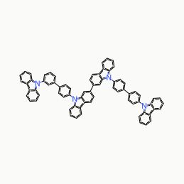 c1cc(-c2ccc(-n3c4ccccc4c4ccc(-c5ccc6c7ccccc7n(-c7ccc(-c8ccc(-n9c%10ccccc%10c%10ccccc%109)cc8)cc7)c6c5)cc43)cc2)cc(-n2c3ccccc3c3ccccc32)c1